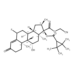 C[C@@H]1C[C@H]2[C@@H]3CC(F)C4=CC(=O)CC[C@]4(C)[C@@]3(F)[C@@H](O)C[C@]2(C)[C@@]1(OC(=O)C1C(C)(C)C1(C)C)C(=O)OCC#N